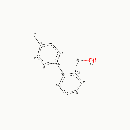 Cc1ccc(-c2ccc[c]c2CO)cc1